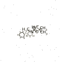 C[C@H]1[C@@H](c2ccccc2)CCN1C(=O)OC(C)(C)C